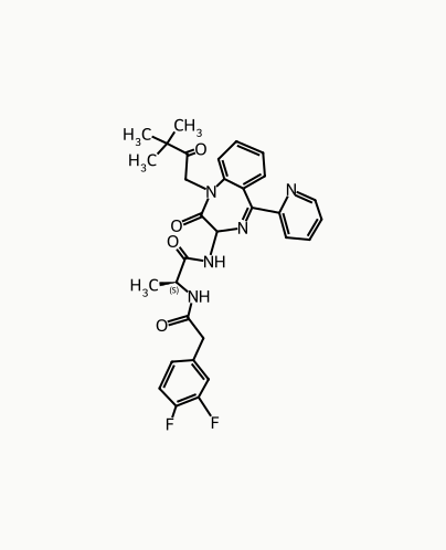 C[C@H](NC(=O)Cc1ccc(F)c(F)c1)C(=O)NC1N=C(c2ccccn2)c2ccccc2N(CC(=O)C(C)(C)C)C1=O